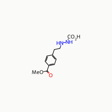 COC(=O)c1ccc(CCNNC(=O)O)cc1